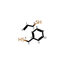 C=CCS.SCc1ccccc1